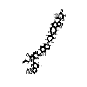 C=CCn1c(=O)c2cnc(Nc3ccc4c(c3)CCN(C3CCC(N5CCc6ccc7c(C8CCC(=O)NC8=O)noc7c6CC5)CC3)C4)nc2n1-c1ccc2c(n1)[C@@](O)(CC)CC2